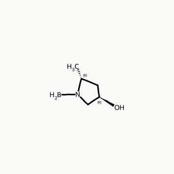 BN1C[C@H](O)C[C@H]1C